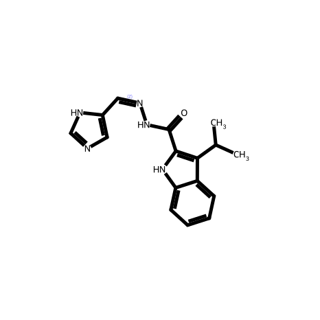 CC(C)c1c(C(=O)N/N=C\c2cnc[nH]2)[nH]c2ccccc12